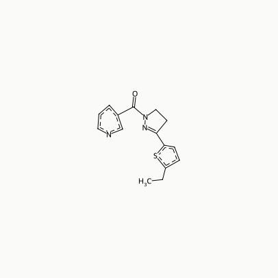 CCc1ccc(C2=NN(C(=O)c3cccnc3)CC2)s1